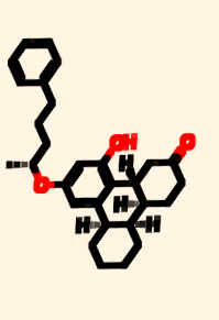 C[C@H](CCCc1ccccc1)Oc1cc(O)c2c(c1)[C@@H]1CCCC[C@@H]1[C@@H]1CCC(=O)C[C@@H]21